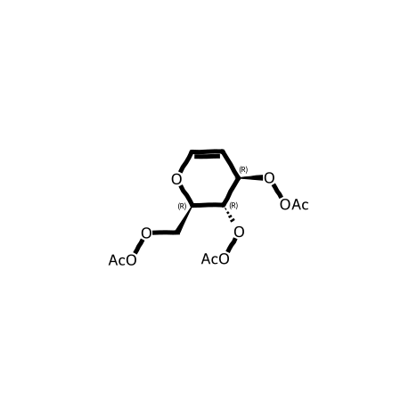 CC(=O)OOC[C@H]1OC=C[C@@H](OOC(C)=O)[C@@H]1OOC(C)=O